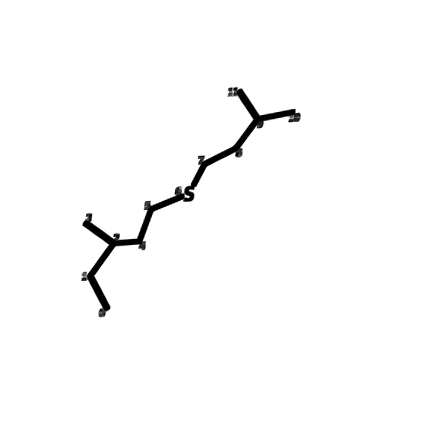 CCC(C)CCSCCC(C)C